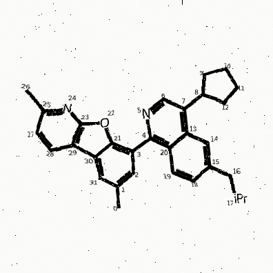 Cc1cc(-c2ncc(C3CCCC3)c3cc(CC(C)C)ccc23)c2oc3nc(C)ccc3c2c1